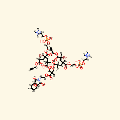 C#CCOC(=O)C(C)(Br)CC(C)(CC(C)(C)C(=O)OCC(C)(COC(=O)C(C)(C)CC(C)(CC(C)(Br)C(=O)OCC#C)C(=O)OCCOP(=O)(O)OCC[N+](C)(C)C)C(=O)OCCN1C(=O)C2C3C=CC(O3)C2C1=O)C(=O)OCCOP(=O)(O)OCC[N+](C)(C)C